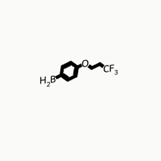 Bc1ccc(OCCC(F)(F)F)cc1